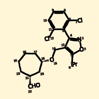 CC(C)c1onc(-c2c(Cl)cccc2Cl)c1CO[C@H]1CCCC[C@@H](C=O)C1